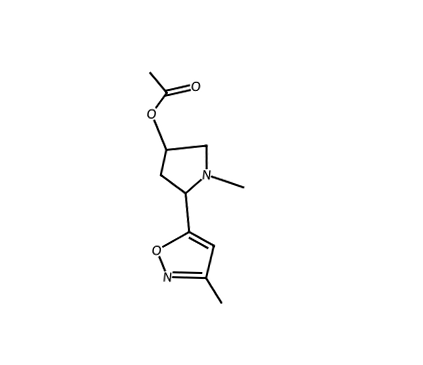 CC(=O)OC1CC(c2cc(C)no2)N(C)C1